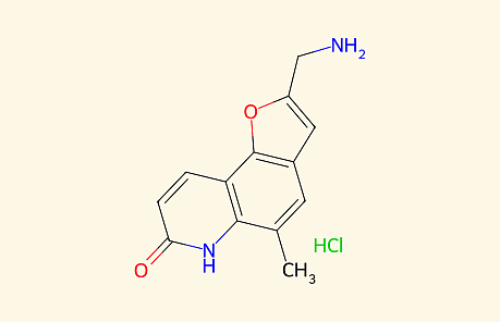 Cc1cc2cc(CN)oc2c2ccc(=O)[nH]c12.Cl